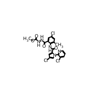 COC(=O)NNC(=O)c1cc(Cl)cc(C)c1NC(=O)c1cc(Cl)cn1-c1ncccc1Cl